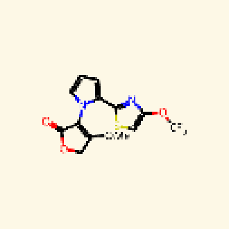 COC1=C(n2cccc2-c2nc(OC(F)(F)F)cs2)C(=O)OC1